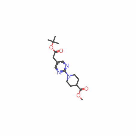 COC(=O)C1CCN(c2ncc(CC(=O)OC(C)(C)C)cn2)CC1